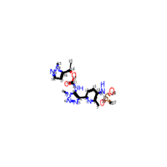 Cc1nc(-c2nnn(C)c2NC(=O)O[C@H](C)c2ccnn2C)ccc1NS(C)(=O)=O